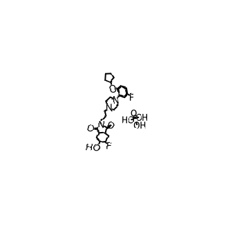 O=C1C2CC(O)C(F)CC2C(=O)N1CCCN1CCN(c2cc(F)ccc2OC2CCCC2)CC1.O=P(O)(O)O